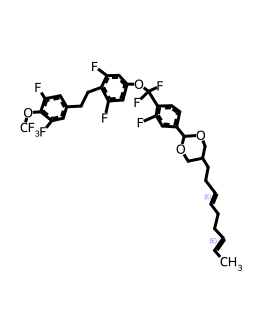 C/C=C/CC/C=C/CCC1COC(c2ccc(C(F)(F)Oc3cc(F)c(CCc4cc(F)c(OC(F)(F)F)c(F)c4)c(F)c3)c(F)c2)OC1